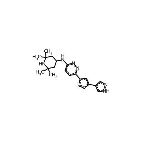 CC1(C)CC(Nc2ccc(-c3cc(-c4cn[nH]c4)cs3)nn2)CC(C)(C)N1